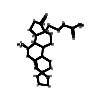 C[C@@H]1CC2=CC3(CCC2C2CC[C@]4(CCOC(=O)C(C)(C)C)C(=O)CCC4C21)OCCO3